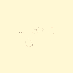 COC(c1ccccc1)c1nc2cc(C(C)C#N)ccc2o1